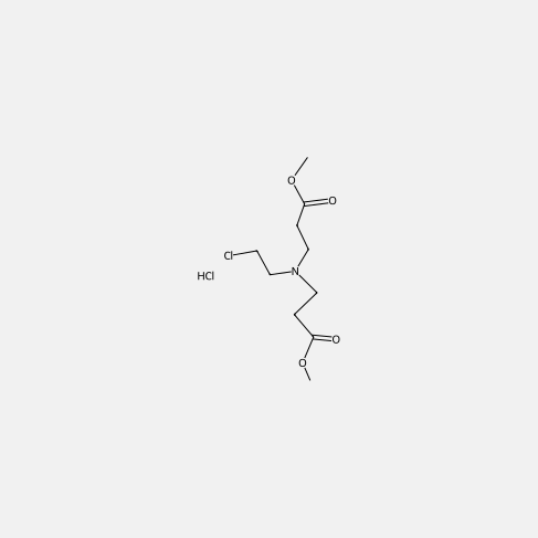 COC(=O)CCN(CCCl)CCC(=O)OC.Cl